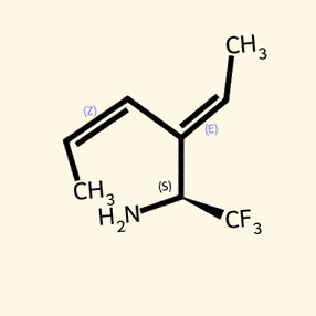 C/C=C\C(=C/C)[C@H](N)C(F)(F)F